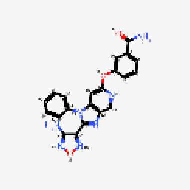 NC(=O)c1cccc(Oc2cc3c(cn2)nc(-c2nonc2N)n3-c2ccccc2)c1